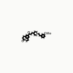 COc1cccc(CCN2CCC(CCC(=O)c3cc4c5c(c3)CCN5C(=O)CC4)CC2)c1